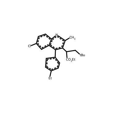 CCOC(=O)C(CC(C)(C)C)c1c(C)nc2ccc(Cl)cc2c1-c1ccc(CC)cc1